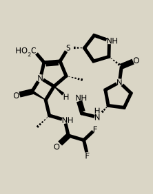 C[C@@H](NC(=O)C(F)F)[C@H]1C(=O)N2C(C(=O)O)=C(S[C@@H]3CN[C@H](C(=O)N4CC[C@H](NC=N)C4)C3)[C@H](C)[C@H]12